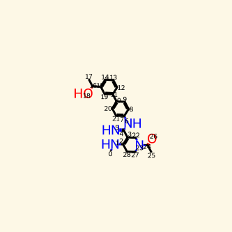 CNC1=C(C(=N)Nc2ccc(-c3cccc(C(C)O)c3)cc2)CN(C(C)=O)CC1